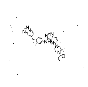 C=CC(=O)N1CCN(c2ccc3ncnc(Nc4ccc(Cc5ccn6ncnc6c5)c(C)c4)c3n2)CC12CC2